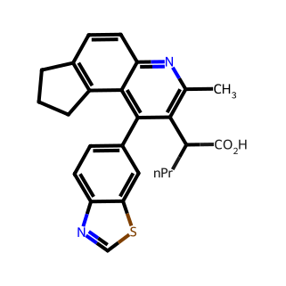 CCCC(C(=O)O)c1c(C)nc2ccc3c(c2c1-c1ccc2ncsc2c1)CCC3